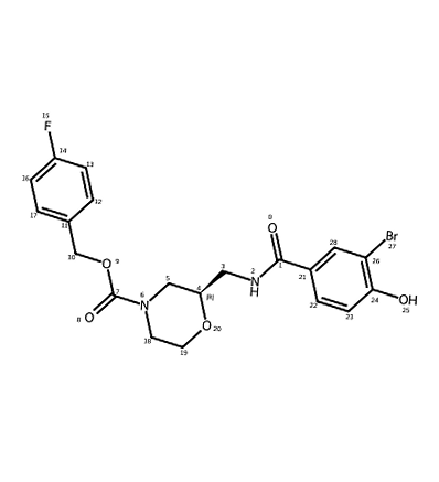 O=C(NC[C@@H]1CN(C(=O)OCc2ccc(F)cc2)CCO1)c1ccc(O)c(Br)c1